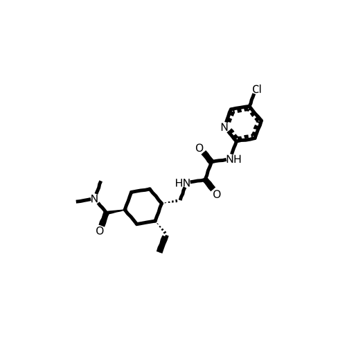 C=C[C@@H]1C[C@@H](C(=O)N(C)C)CC[C@@H]1CNC(=O)C(=O)Nc1ccc(Cl)cn1